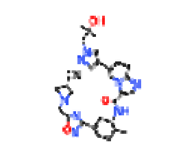 Cc1ccc(-c2noc(CN3CC(C#N)C3)n2)cc1NC(=O)c1cnc2ccc(-c3cnn(CC(C)(C)O)c3)cn12